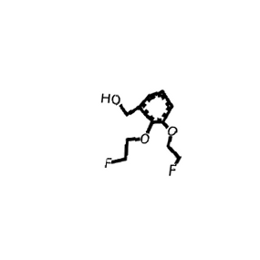 OCc1cccc(OCCF)c1OCCF